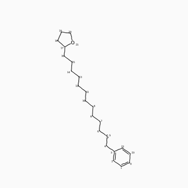 c1ccc(CSCCCCCCCCCCCC2CCCO2)cc1